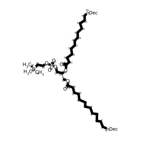 CCCCCCCCCCCCCCCCCCCCCCC(=O)OC[C@H](COP(=O)([O-])OCC[N+](C)(C)C)OC(=O)CCCCCCCCCCCCCCCCCCCCCC